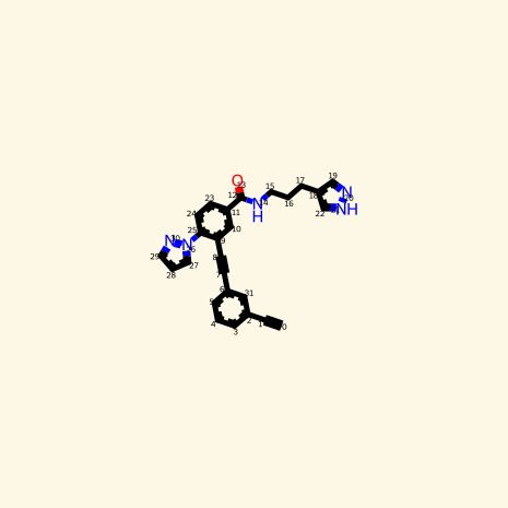 C#Cc1cccc(C#Cc2cc(C(=O)NCCCc3cn[nH]c3)ccc2-n2cccn2)c1